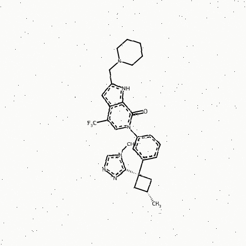 Cn1cnnc1[C@]1(c2cccc(-n3cc(C(F)(F)F)c4cc(CN5CCCCC5)[nH]c4c3=O)c2)C[C@H](C)C1